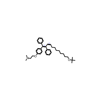 CN(C)CCOc1ccc(/C(=C(/C=C\CCCCCCCCOC(C)(C)C)c2ccccc2)c2ccccc2)cc1